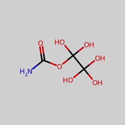 NC(=O)OC(O)(O)C(O)(O)O